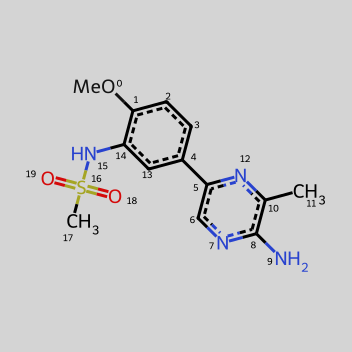 COc1ccc(-c2cnc(N)c(C)n2)cc1NS(C)(=O)=O